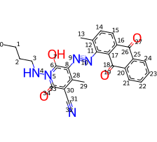 CCCCNn1c(O)c(/N=N/c2c(C)ccc3c2C(=O)c2ccccc2C3=O)c(C)c(C#N)c1=O